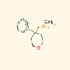 CPCC1(c2ccccc2)CCOCC1